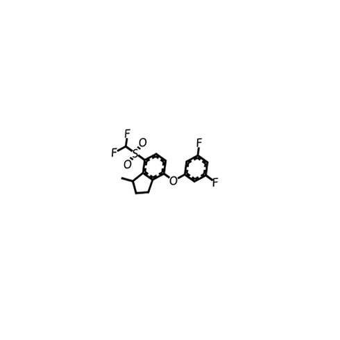 CC1CCc2c(Oc3cc(F)cc(F)c3)ccc(S(=O)(=O)C(F)F)c21